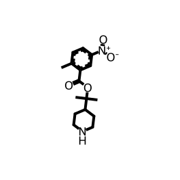 Cc1ccc([N+](=O)[O-])cc1C(=O)OC(C)(C)C1CCNCC1